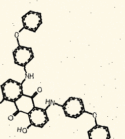 O=C1c2c(O)ccc(Nc3ccc(Oc4ccccc4)cc3)c2C(=O)c2c(Nc3ccc(Oc4ccccc4)cc3)ccc(O)c21